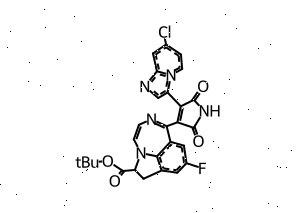 CC(C)(C)OC(=O)C1Cc2cc(F)cc3c2N1C=CN=C3C1=C(c2cnc3cc(Cl)ccn23)C(=O)NC1=O